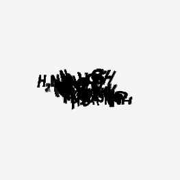 Cc1nc2c(ncn2[C@@H]2O[C@@H]3CO[P@](=O)(S)O[C@@H]4[C@@H](CO[P@@](=O)(S)O[C@@H]2[C@@H]3CO)C[C@@H](n2cnc3c(N)ncnc32)[C@@H]4O)c(=O)[nH]1